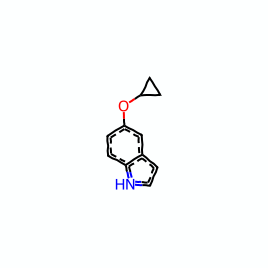 c1cc2cc(OC3CC3)ccc2[nH]1